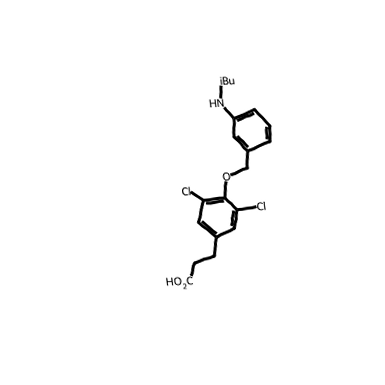 CCC(C)Nc1cccc(COc2c(Cl)cc(CCC(=O)O)cc2Cl)c1